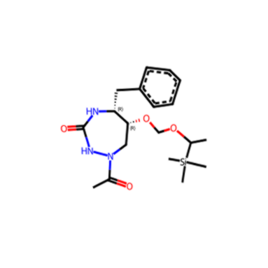 CC(=O)N1C[C@@H](OCOC(C)[Si](C)(C)C)[C@@H](Cc2ccccc2)NC(=O)N1